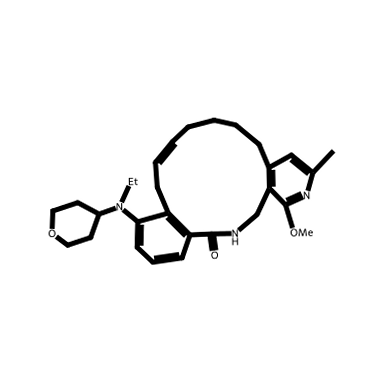 CCN(c1cccc2c1CC=CCCCCc1cc(C)nc(OC)c1CNC2=O)C1CCOCC1